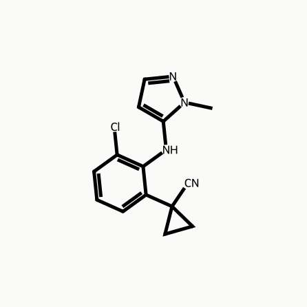 Cn1nccc1Nc1c(Cl)cccc1C1(C#N)CC1